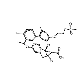 Cc1cc(OCCCS(C)(=O)=O)ccc1-c1ccc(F)c(C(C)Oc2cc3c(cn2)[C@H]2[C@@H](C3)[C@@H]2C(=O)O)c1